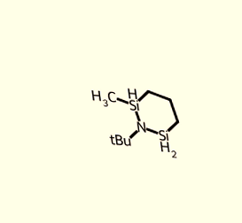 C[SiH]1CCC[SiH2]N1C(C)(C)C